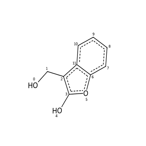 OCc1c(O)oc2ccccc12